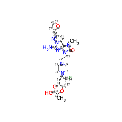 C[C@@H](Oc1ccc(N2CCN(CCn3c(=O)n(C)c4c3nc(N)n3nc(-c5ccco5)cc43)CC2)c(F)c1)C(=O)O